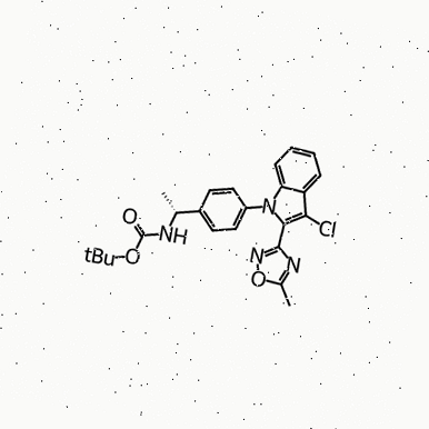 Cc1nc(-c2c(Cl)c3ccccc3n2-c2ccc([C@@H](C)NC(=O)OC(C)(C)C)cc2)no1